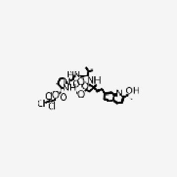 COCCC(C)(/C=C/c1ccc2ccc([C@@H](C)O)nc2c1)C(=O)N[C@H](C(=O)N[C@@H](C)C(=O)N1CCC[C@@H](C(=O)OCC(Cl)(Cl)Cl)N1)C(C)C